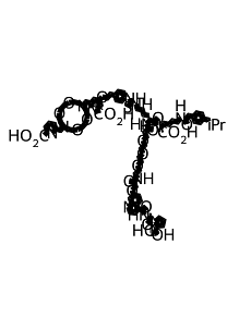 CC(C)Cc1ccc(CC(=O)NCCCC[C@H](NC(=O)[C@H](CCCCNC(=S)Nc2ccc(CCOc3cc(CN4CCOCCOCCN(Cc5cccc(C(=O)O)n5)CCOCCOCC4)nc(C(=O)O)c3)cc2)NC(=O)CCOCCOCCOCCNC(=O)COc2ccc3c(C(=O)NCC(=O)N4CCC[C@H]4B(O)O)ccnc3c2)C(=O)O)cc1